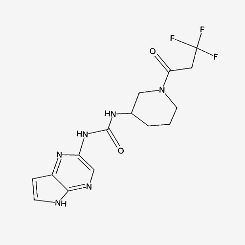 O=C(Nc1cnc2[nH]ccc2n1)NC1CCCN(C(=O)CC(F)(F)F)C1